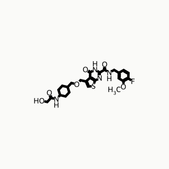 COc1cc(CNC(=O)c2nc3scc(COCC4CCC(NC(=O)CO)CC4)c3c(=O)[nH]2)ccc1F